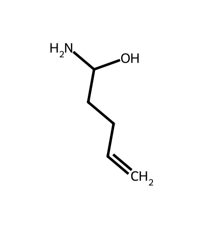 C=CCCC(N)O